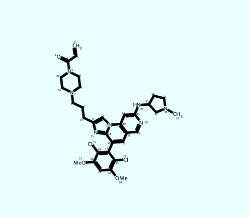 C=CC(=O)N1CCN(CCCc2cn3c(n2)c(-c2c(Cl)c(OC)cc(OC)c2Cl)cc2cnc(NC4CCN(C)C4)cc23)CC1